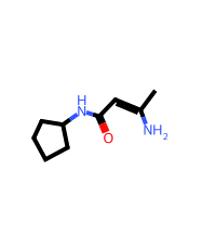 CC(N)=CC(=O)NC1CCCC1